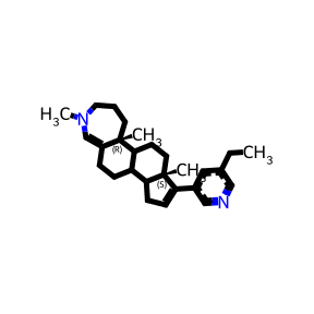 CCc1cncc(C2=CCC3C4CCC5=CN(C)CCC[C@]5(C)C4CC[C@]23C)c1